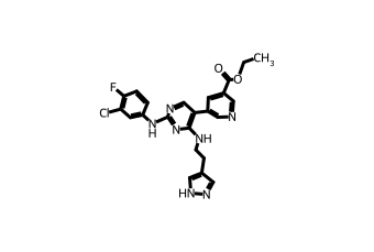 CCOC(=O)c1cncc(-c2cnc(Nc3ccc(F)c(Cl)c3)nc2NCCc2cn[nH]c2)c1